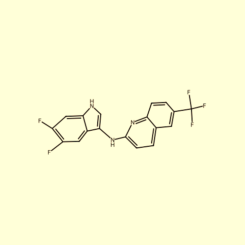 Fc1cc2[nH]cc(Nc3ccc4cc(C(F)(F)F)ccc4n3)c2cc1F